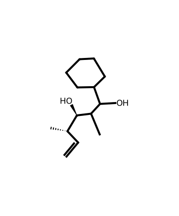 C=C[C@H](C)[C@@H](O)C(C)C(O)C1CCCCC1